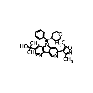 Cc1noc(C)c1-c1cc2c(cn1)c1ncc(C(C)(C)O)cc1n2[C@H](c1ccccc1)C1CCOCC1